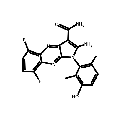 Cc1ccc(O)c(C)c1-n1c(N)c(C(N)=O)c2nc3c(F)ccc(F)c3nc21